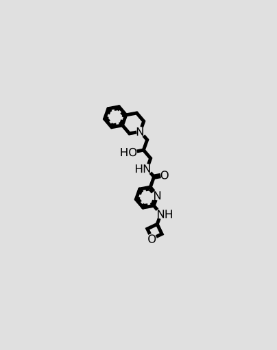 O=C(NCC(O)CN1CCc2ccccc2C1)c1cccc(NC2COC2)n1